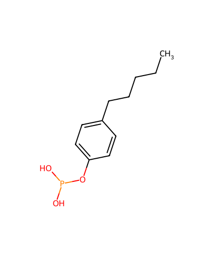 CCCCCc1ccc(OP(O)O)cc1